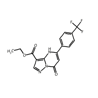 CCOC(=O)c1cnn2c(=O)cc(-c3ccc(C(F)(F)F)cc3)[nH]c12